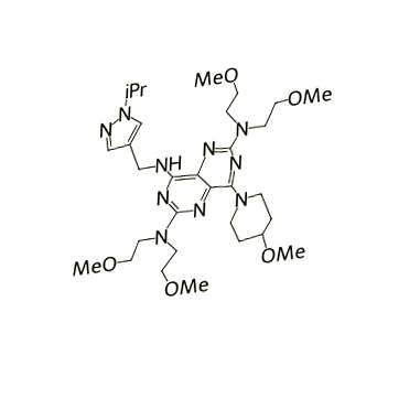 COCCN(CCOC)c1nc(N2CCC(OC)CC2)c2nc(N(CCOC)CCOC)nc(NCc3cnn(C(C)C)c3)c2n1